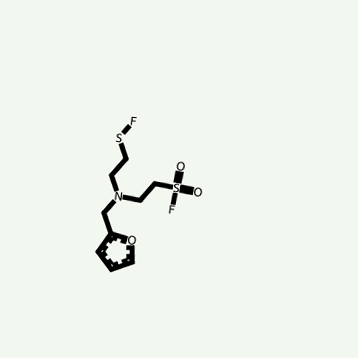 O=S(=O)(F)CCN(CCSF)Cc1ccco1